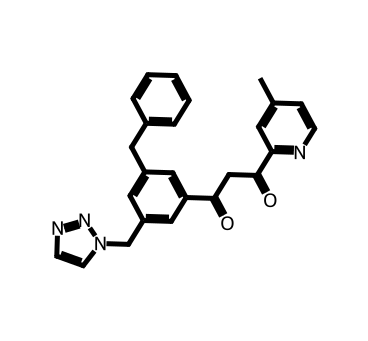 Cc1ccnc(C(=O)CC(=O)c2cc(Cc3ccccc3)cc(Cn3ccnn3)c2)c1